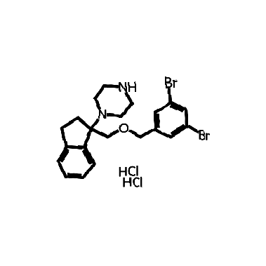 Brc1cc(Br)cc(COCC2(N3CCNCC3)CCc3ccccc32)c1.Cl.Cl